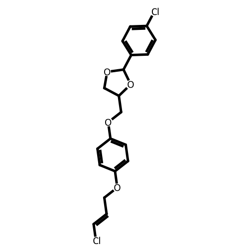 ClC=CCOc1ccc(OCC2COC(c3ccc(Cl)cc3)O2)cc1